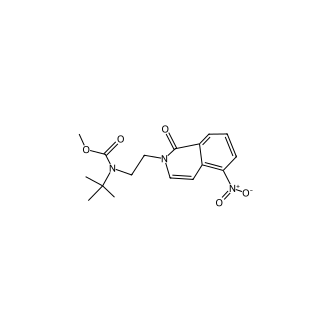 COC(=O)N(CCn1ccc2c([N+](=O)[O-])cccc2c1=O)C(C)(C)C